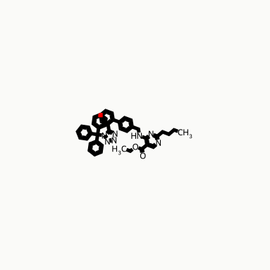 CCCCc1ncc(C(=O)OCC)c(NCc2ccc(-c3ccccc3-c3nnnn3C(c3ccccc3)(c3ccccc3)c3ccccc3)cc2)n1